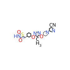 Cc1c(Oc2cccc(/C=C3\SC(=O)NC3=O)c2)ncnc1OC1CCN(c2cncc(C#N)c2)CC1